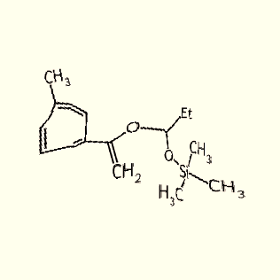 C=C(OC(CC)O[Si](C)(C)C)c1cccc(C)c1